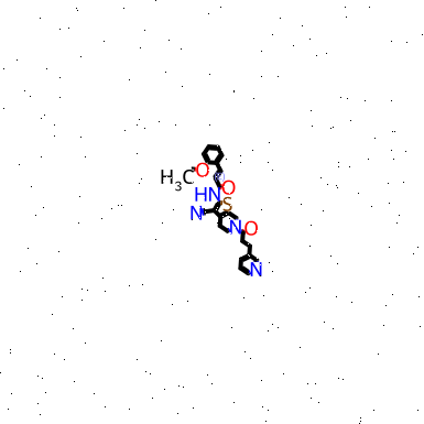 CCOc1ccccc1/C=C/C(=O)Nc1sc2c(c1C#N)CCN(C(=O)CCc1cccnc1)C2